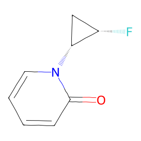 O=c1ccccn1[C@@H]1C[C@@H]1F